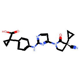 N#C[C@@]1(C2CC2)CCN(c2ccnc(Nc3ccc(C4(C(=O)O)CC4)cc3)n2)C1=O